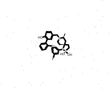 CCc1ccccc1-c1cc(CN2CC[C@]3(CCS(O)(O)N3c3cccc(F)c3)C[C@@H]2C)ccc1O